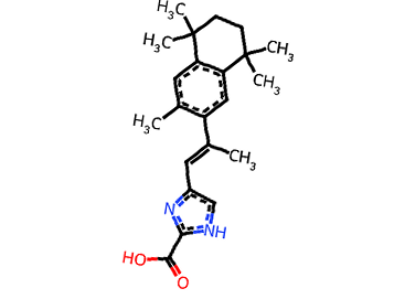 CC(=Cc1c[nH]c(C(=O)O)n1)c1cc2c(cc1C)C(C)(C)CCC2(C)C